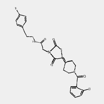 O=C(CN1C(=O)SC(=C2CCN(C(=O)c3ccccc3Cl)CC2)C1=O)NCCc1ccc(F)cc1